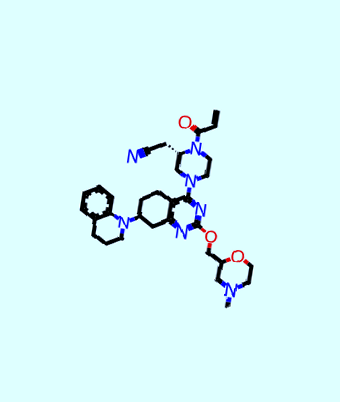 C=CC(=O)N1CCN(c2nc(OCC3CN(C)CCO3)nc3c2CCC(N2CCCc4ccccc42)C3)C[C@@H]1CC#N